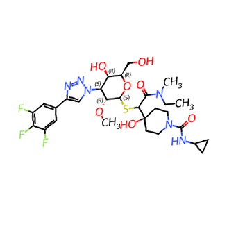 CCN(C)C(=O)C(S[C@@H]1O[C@H](CO)[C@H](O)[C@H](n2cc(-c3cc(F)c(F)c(F)c3)nn2)[C@H]1OC)C1(O)CCN(C(=O)NC2CC2)CC1